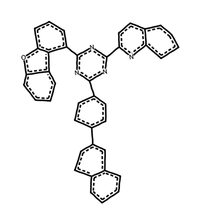 c1ccc2cc(-c3ccc(-c4nc(-c5ccc6ccccc6n5)nc(-c5cccc6oc7ccccc7c56)n4)cc3)ccc2c1